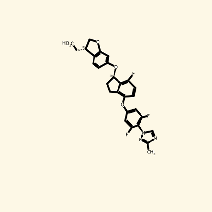 Cc1ncn(-c2c(F)cc(Oc3ccc(F)c4c3CC[C@H]4Oc3ccc4c(c3)OC[C@H]4CC(=O)O)cc2F)n1